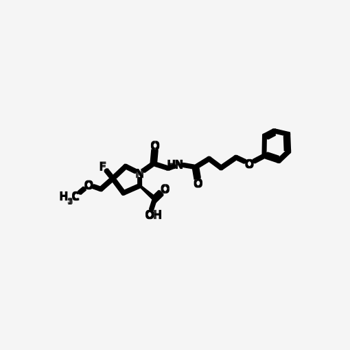 COCC1(F)C[C@H](C(=O)O)N(C(=O)CNC(=O)CCCOc2ccccc2)C1